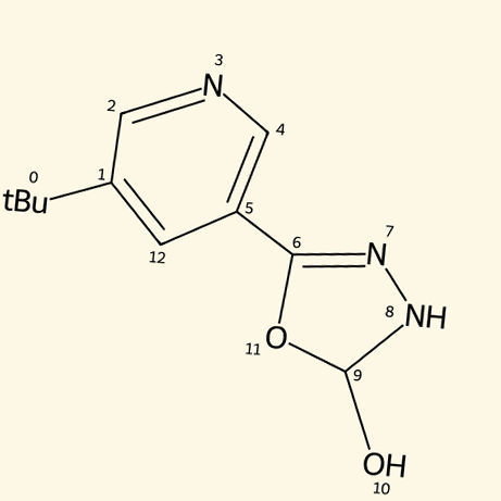 CC(C)(C)c1cncc(C2=NNC(O)O2)c1